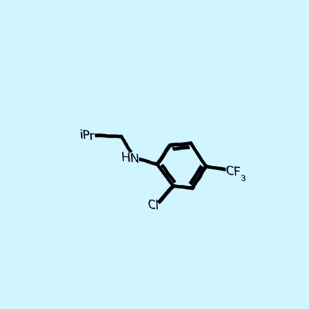 CC(C)CNc1ccc(C(F)(F)F)cc1Cl